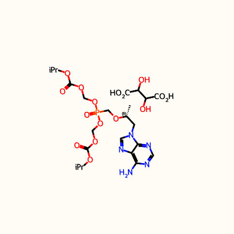 CC(C)OC(=O)OCOP(=O)(CO[C@H](C)Cn1cnc2c(N)ncnc21)OCOC(=O)OC(C)C.O=C(O)C(O)C(O)C(=O)O